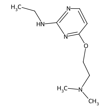 CCNc1nccc(OCCN(C)C)n1